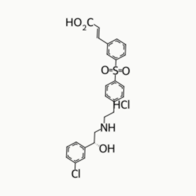 Cl.O=C(O)C=Cc1cccc(S(=O)(=O)c2ccc(CCNC[C@H](O)c3cccc(Cl)c3)cc2)c1